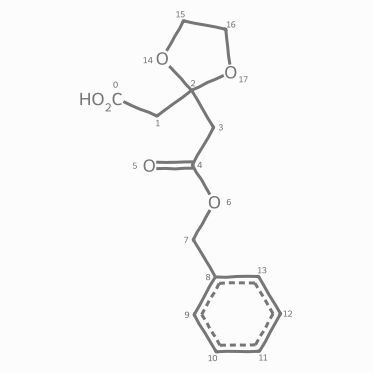 O=C(O)CC1(CC(=O)OCc2ccccc2)OCCO1